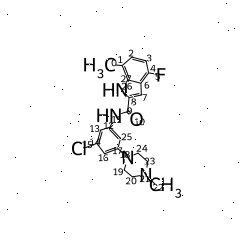 Cc1ccc(F)c2cc(C(=O)Nc3cc(Cl)cc(N4CCN(C)CC4)c3)[nH]c12